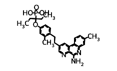 CCC(CC)(Oc1ccc(CCc2cnc3c(N)nc4cc(C)ccc4c3c2)c(C)c1)P(=O)(O)O